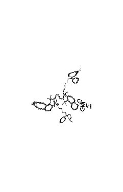 CCOC(=O)CCCCCN1/C(=C\C=C\C2=[N+](CCCCCC(=O)OCC)c3ccc4c(S(=O)(=O)O)cccc4c3C2(C)C)C(C)(C)c2c1ccc1ccccc21